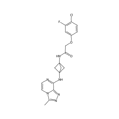 Cc1nnc2c(NC34CC(NC(=O)COc5ccc(Cl)c(F)c5)(C3)C4)nccn12